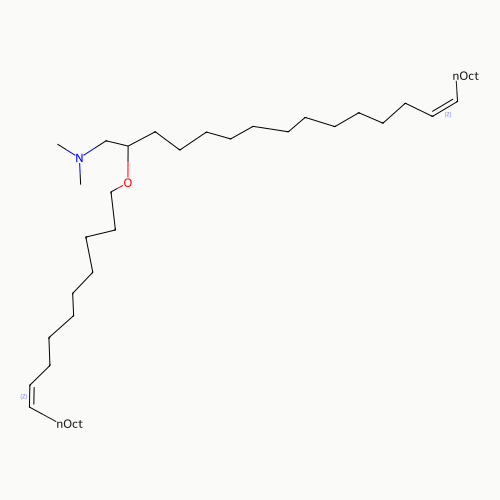 CCCCCCCC/C=C\CCCCCCCCCCCC(CN(C)C)OCCCCCCCC/C=C\CCCCCCCC